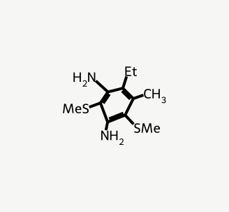 CCc1c(C)c(SC)c(N)c(SC)c1N